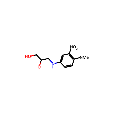 CNc1ccc(NCC(O)CO)cc1[N+](=O)[O-]